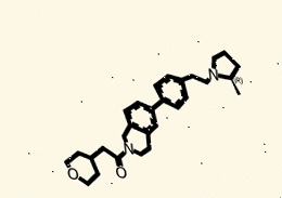 C[C@@H]1CCCN1CCc1ccc(-c2ccc3c(c2)CCN(C(=O)CC2CCOCC2)C3)cc1